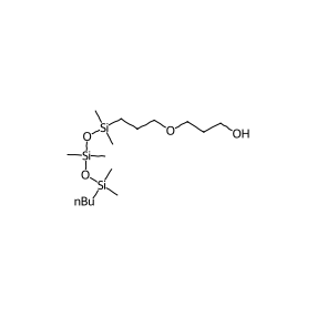 CCCC[Si](C)(C)O[Si](C)(C)O[Si](C)(C)CCCOCCCO